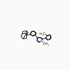 Cc1ccccc1-c1cc(-c2cccc(C34CC5CC(CC(C5)C3)C4)c2)cc[n+]1C